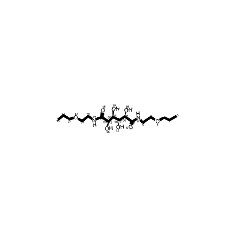 CCCOCCNC(=O)[C@@H](O)[C@H](O)[C@H](O)[C@@H](O)C(=O)NCCOCCC